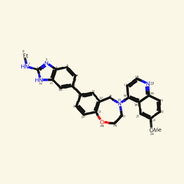 CCNc1nc2ccc(-c3ccc4c(c3)CN(c3ccnc5ccc(OC)cc35)CCO4)cc2[nH]1